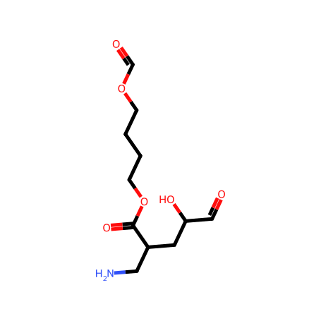 NCC(CC(O)C=O)C(=O)OCCCCOC=O